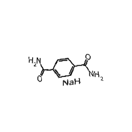 NC(=O)c1ccc(C(N)=O)cc1.[NaH]